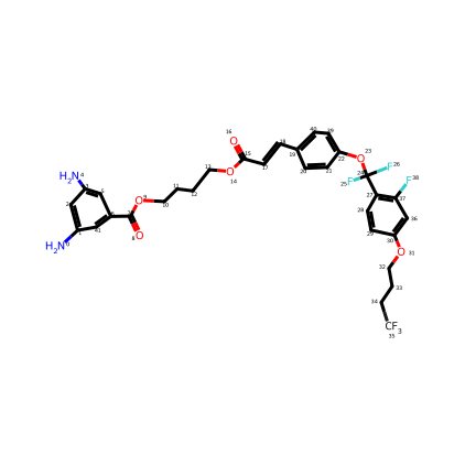 Nc1cc(N)cc(C(=O)OCCCCOC(=O)C=Cc2ccc(OC(F)(F)c3ccc(OCCCC(F)(F)F)cc3F)cc2)c1